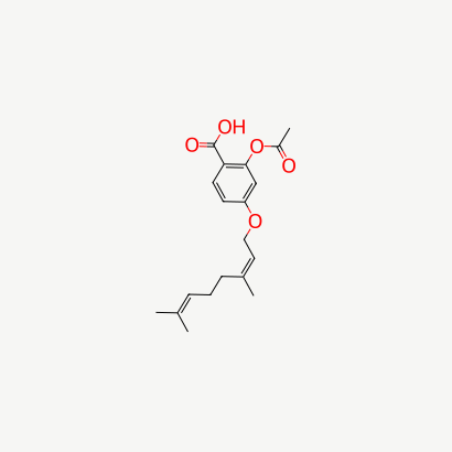 CC(=O)Oc1cc(OCC=C(C)CCC=C(C)C)ccc1C(=O)O